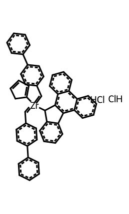 C1=CC[C]([Zr](=[CH]c2ccc(-c3ccccc3)cc2)(=[CH]c2ccc(-c3ccccc3)cc2)[CH]2c3ccccc3-c3c2c2ccccc2c2ccccc32)=C1.Cl.Cl